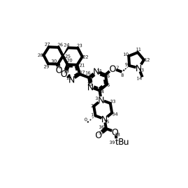 C[C@@H]1CN(c2cc(OC[C@@H]3CCCN3C)nc(-c3noc4c3CCC[C@@]43CCCCC3=O)n2)CCN1C(=O)OC(C)(C)C